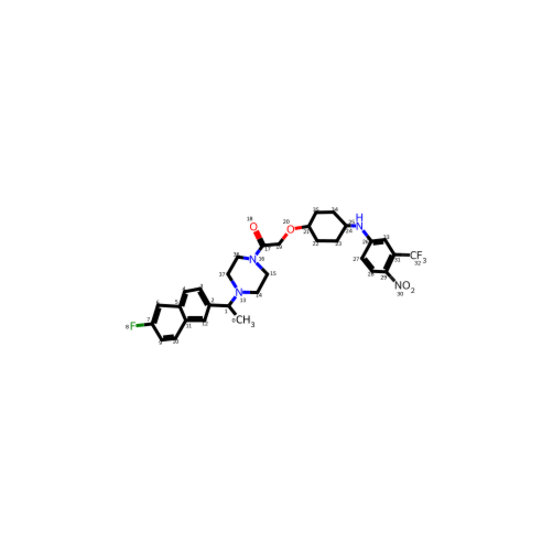 CC(c1ccc2cc(F)ccc2c1)N1CCN(C(=O)COC2CCC(Nc3ccc([N+](=O)[O-])c(C(F)(F)F)c3)CC2)CC1